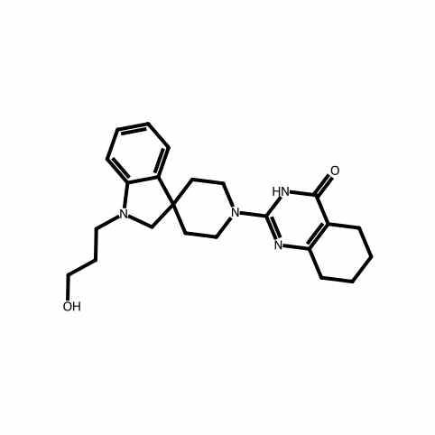 O=c1[nH]c(N2CCC3(CC2)CN(CCCO)c2ccccc23)nc2c1CCCC2